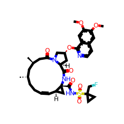 COc1cc2ccnc(O[C@@H]3C[C@H]4C(=O)N[C@]5(C(=O)NS(=O)(=O)C6(CF)CC6)C[C@H]5/C=C\CC[C@H](C)C[C@@H](C)CC(=O)N4C3)c2cc1OC